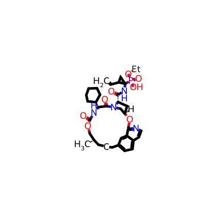 C=CC1CC1(NC(=O)[C@@H]1C[C@@H]2CN1C(=O)[C@H](C1CCCCC1)NC(=O)OC[C@@H](C)CCCc1ccc3ccnc(c3c1)O2)P(=O)(O)OCC